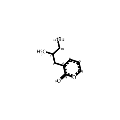 CC(Cc1cccoc1=O)CC(C)(C)C